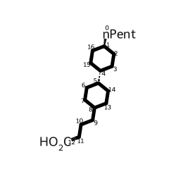 CCCCC[C@H]1CC[C@H](C2CCC(CCCC(=O)O)CC2)CC1